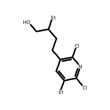 CCc1cc(CCC(CC)CO)c(Cl)nc1Cl